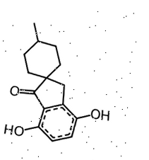 CC1CCC2(CC1)Cc1c(O)ccc(O)c1C2=O